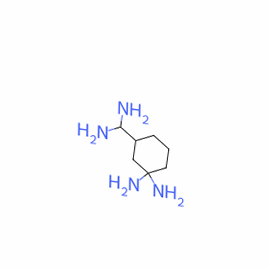 NC(N)C1CCCC(N)(N)C1